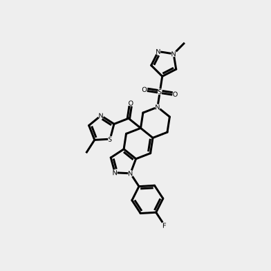 Cc1cnc(C(=O)C23Cc4cnn(-c5ccc(F)cc5)c4C=C2CCN(S(=O)(=O)c2cnn(C)c2)C3)s1